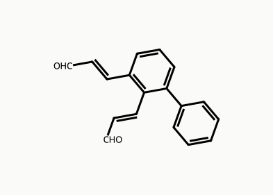 O=CC=Cc1c(/C=C/C=O)cccc1-c1ccccc1